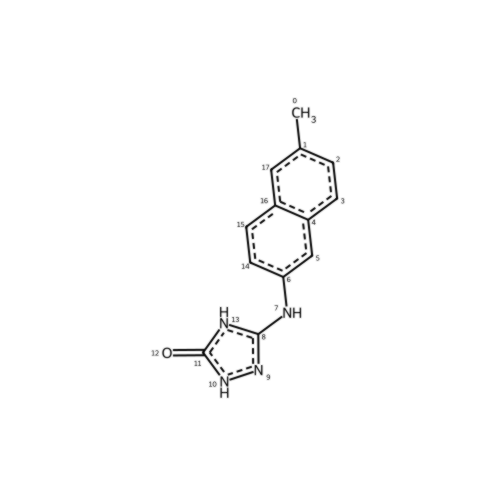 Cc1ccc2cc(Nc3n[nH]c(=O)[nH]3)ccc2c1